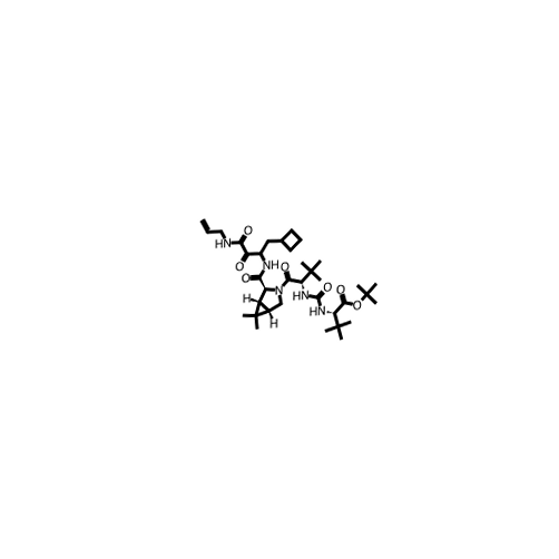 C=CCNC(=O)C(=O)C(CC1CCC1)NC(=O)[C@@H]1[C@@H]2[C@H](CN1C(=O)[C@@H](NC(=O)N[C@H](C(=O)OC(C)(C)C)C(C)(C)C)C(C)(C)C)C2(C)C